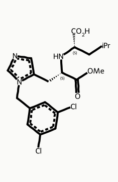 COC(=O)[C@H](Cc1cncn1Cc1cc(Cl)cc(Cl)c1)N[C@@H](CC(C)C)C(=O)O